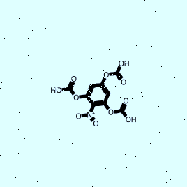 O=C(O)Oc1cc(OC(=O)O)c([N+](=O)[O-])c(OC(=O)O)c1